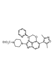 CCOC(=O)N1CCN(c2nc3ccc(-c4c(C)noc4C)c4c3n2[C@@H](c2ccccn2)CO4)CC1